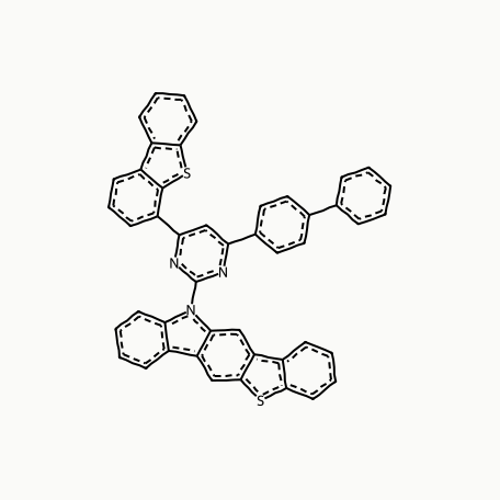 c1ccc(-c2ccc(-c3cc(-c4cccc5c4sc4ccccc45)nc(-n4c5ccccc5c5cc6sc7ccccc7c6cc54)n3)cc2)cc1